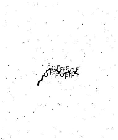 C=CCCOCC(F)(F)OC(F)(F)C(F)(F)OC(F)(F)C(F)(F)OC(F)(F)F